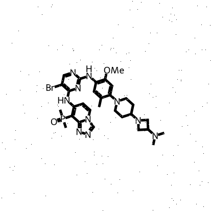 COc1cc(N2CCC(N3CC(N(C)C)C3)CC2)c(C)cc1Nc1ncc(Br)c(Nc2ccn3cnnc3c2P(C)(C)=O)n1